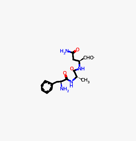 C[C@H](NC(=O)[C@@H](N)Cc1ccccc1)C(=O)N[C@H]([C]=O)CC(N)=O